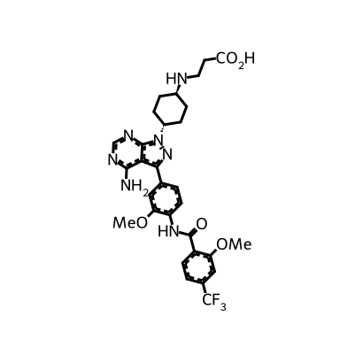 COc1cc(-c2nn([C@H]3CC[C@H](NCCC(=O)O)CC3)c3ncnc(N)c23)ccc1NC(=O)c1ccc(C(F)(F)F)cc1OC